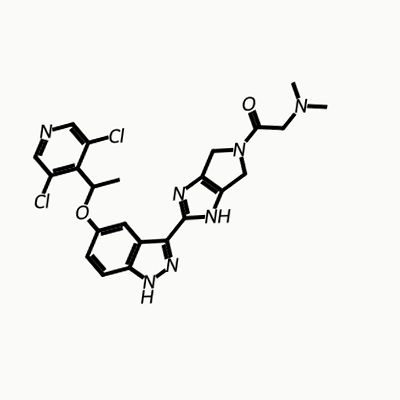 CC(Oc1ccc2[nH]nc(-c3nc4c([nH]3)CN(C(=O)CN(C)C)C4)c2c1)c1c(Cl)cncc1Cl